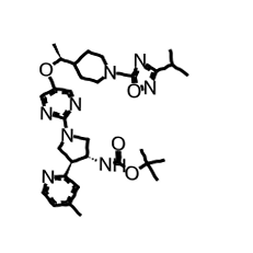 Cc1ccnc([C@H]2CN(c3ncc(O[C@@H](C)C4CCN(c5nc(C(C)C)no5)CC4)cn3)C[C@@H]2NC(=O)OC(C)(C)C)c1